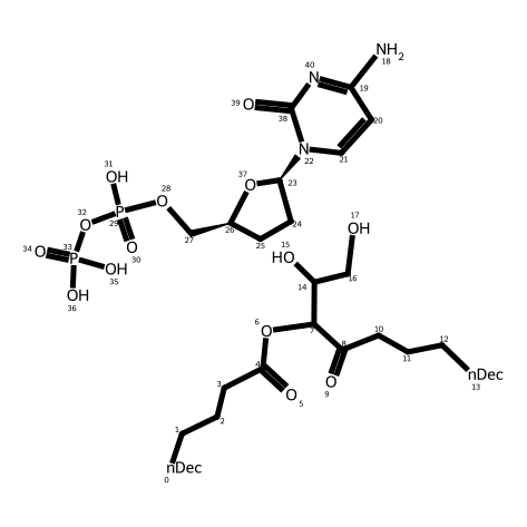 CCCCCCCCCCCCCC(=O)OC(C(=O)CCCCCCCCCCCCC)C(O)CO.Nc1ccn([C@H]2CC[C@@H](COP(=O)(O)OP(=O)(O)O)O2)c(=O)n1